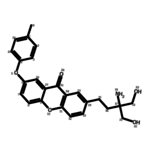 Cc1ccc(Oc2ccc3oc4ccc(CCC(N)(CO)CO)cc4c(=O)c3c2)cc1